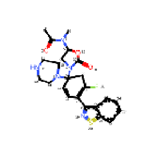 CC(=O)N(C)C1CN(C2(N3CCNCC3)C=CC(c3nsc4ccccc34)=C(F)C2)C(=O)O1